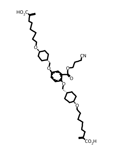 C=C(CCCCCCO[C@H]1CC[C@H](COc2ccc(OC[C@H]3CC[C@H](OCCCCCCC(=C)C(=O)O)CC3)c(C(=O)OCCCC#N)c2)CC1)C(=O)O